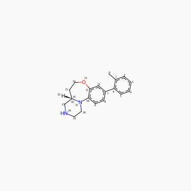 Cc1ccccc1-c1ccc2c(c1)OCC[C@H]1CNCCN21